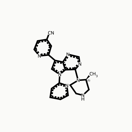 C[C@H]1CNCCN1c1ncnc2c(-c3cc(C#N)ccn3)cn(-c3ccccn3)c12